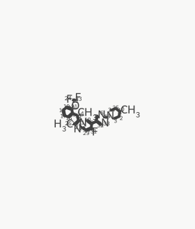 C[C]1CCN(c2ncc(-c3cn4c(C(C)c5ccccc5OC(F)F)c(C)nc4cc3F)cn2)CC1